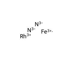 [Fe+3].[N-3].[N-3].[Rh+3]